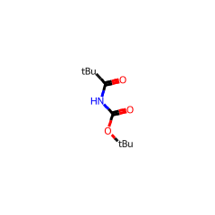 CC(C)(C)OC(=O)NC(=O)C(C)(C)C